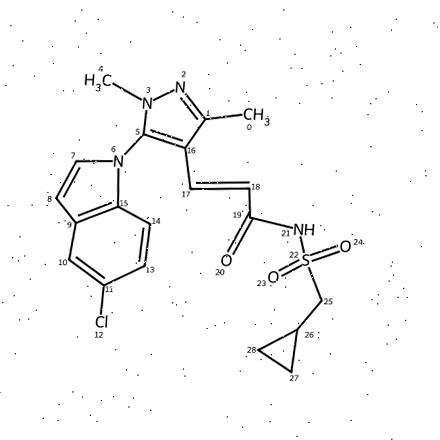 Cc1nn(C)c(-n2ccc3cc(Cl)ccc32)c1C=CC(=O)NS(=O)(=O)CC1CC1